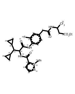 CCOC(=O)CC(NC(=O)Cc1ccc(NC(=O)C(NC(=O)c2ccnn2C(C)C)C(C2CC2)C2CC2)c(F)c1)C(F)(F)F